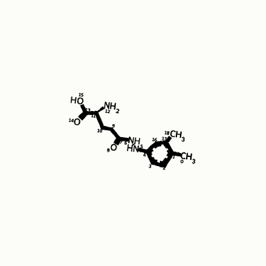 Cc1ccc(NNC(=O)CC[C@H](N)C(=O)O)cc1C